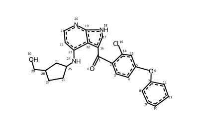 O=C(c1ccc(Oc2ccccc2)cc1Cl)c1c[nH]c2nccc(NC3CCC(CO)C3)c12